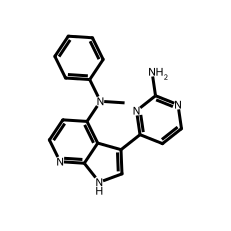 CN(c1ccccc1)c1ccnc2[nH]cc(-c3ccnc(N)n3)c12